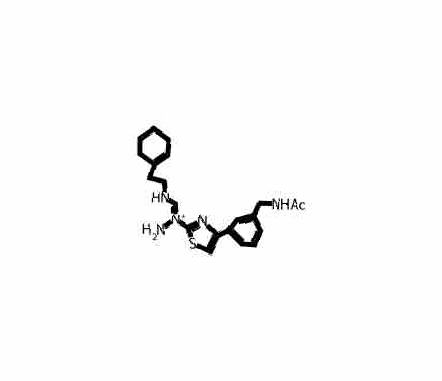 CC(=O)NCc1cccc(-c2csc([N+](N)=CNCCC3=CCCCC3)n2)c1